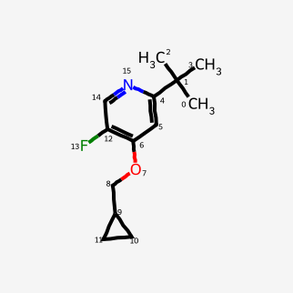 CC(C)(C)c1cc(OCC2CC2)c(F)cn1